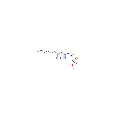 CCCCCCC(N)CNCC(C)C[Si](C)(OC)OC